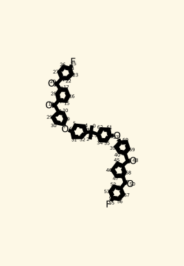 CC(C)(c1ccc(Oc2ccc(C(=O)c3cccc(C(=O)c4ccc(F)cc4)c3)cc2)cc1)c1ccc(Oc2ccc(C(=O)c3cccc(C(=O)c4ccc(F)cc4)c3)cc2)cc1